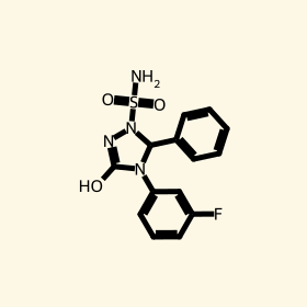 NS(=O)(=O)N1N=C(O)N(c2cccc(F)c2)C1c1ccccc1